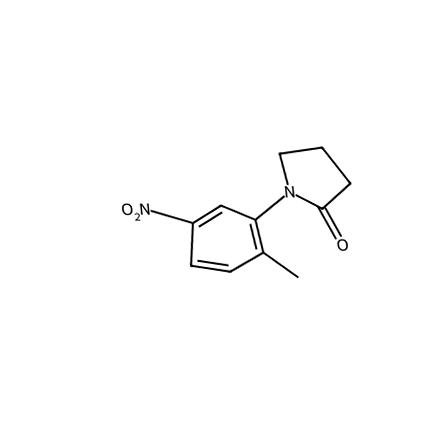 Cc1ccc([N+](=O)[O-])cc1N1CCCC1=O